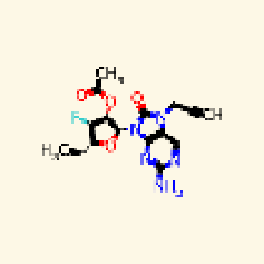 C#CCn1c(=O)n([C@@H]2O[C@H](CC)[C@@H](F)[C@H]2OC(C)=O)c2nc(N)ncc21